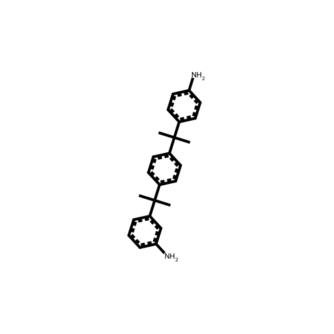 CC(C)(c1ccc(N)cc1)c1ccc(C(C)(C)c2cccc(N)c2)cc1